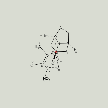 Cc1c(N2[C@@H]3CC[C@H]2C[C@@H](O)C3)ccc([N+](=O)[O-])c1Cl